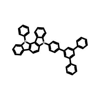 c1ccc(-c2cc(-c3ccccc3)cc(-c3ccc(-n4c5ccccc5c5c4ccc4c6ccccc6n(-c6ccccc6)c45)cc3)c2)cc1